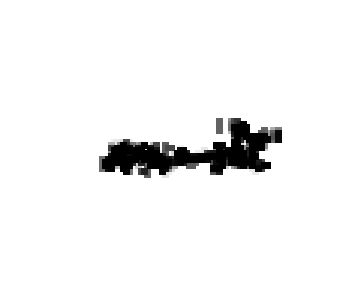 O=C(O)CN1CCN(CC(=O)O)CCN(C(CCC(=O)NCCOCCOc2cccc(CNC(=O)c3cc(Cl)c(C(=O)N[C@@H](CNC(=O)c4cc(O)cc(O)c4)C(=O)O)c(Cl)c3)c2)C(=O)O)CCN(CC(=O)O)CC1